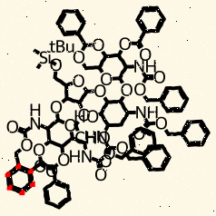 CC(C)(C)[Si](C)(C)OCC1OC(OC2C(O)C(NC(=O)OCc3ccccc3)CC(NC(=O)OCc3ccccc3)C2OC2OC3COC(c4ccccc4)OC3C(OC(=O)c3ccccc3)C2NC(=O)OCc2ccccc2)C(OCC=O)C1OC1OC(CNC(=O)OCc2ccccc2)C(OC(=O)c2ccccc2)C(OC(=O)c2ccccc2)C1NC(=O)OCc1ccccc1